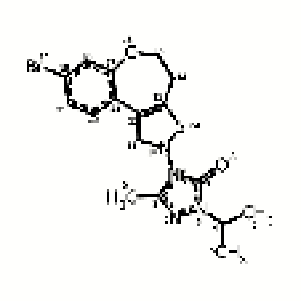 Cc1nn(C(C)C)c(=O)n1N1CC2=C(CCOc3cc(Br)ccc32)S1